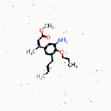 C/C=C/Cc1cc(/C(C)=C\C(=O)OC)cc(N)c1OCCC